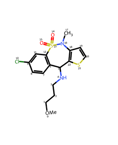 COCCCNC1c2ccc(Cl)cc2S(=O)(=O)N(C)c2ccsc21